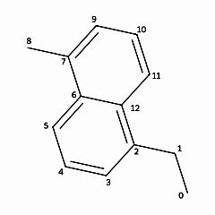 CCc1cccc2c(C)cccc12